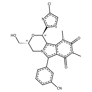 Cn1c(=O)c2c(-c3cccc(C#N)c3)n3c(c2n(C)c1=O)[C@H](c1nc(Cl)cs1)O[C@@H](CO)C3